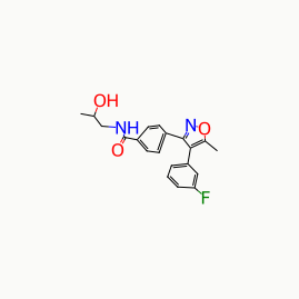 Cc1onc(-c2ccc(C(=O)NCC(C)O)cc2)c1-c1cccc(F)c1